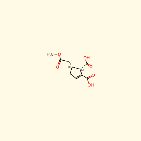 COC(=O)C[C@H]1CC=C(C(=O)O)[C@H]1C(=O)O